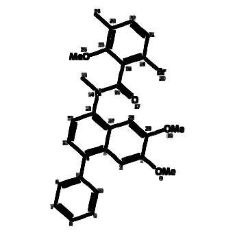 COc1cc2c(-c3ccccc3)ccc(N(C)C(=O)c3c(Br)ccc(C)c3OC)c2cc1OC